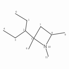 CCC(CC)C1(C)CC(C)N1C